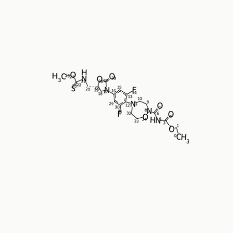 CCOC(=O)NC(=O)N1CCN(c2c(F)cc(N3C[C@H](CNC(=S)OC)OC3=O)cc2F)CCO1